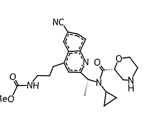 COC(=O)NCCCc1cc([C@@H](C)N(C(=O)[C@H]2CNCCO2)C2CC2)nc2ccc(C#N)cc12